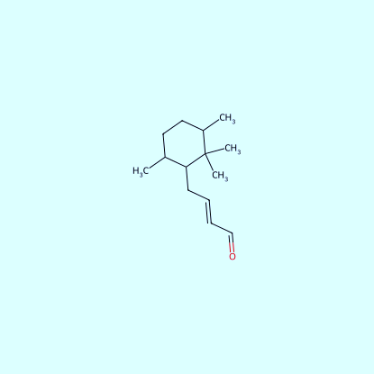 CC1CCC(C)C(C)(C)C1CC=CC=O